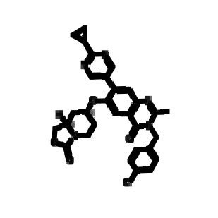 Cc1nc2cc(-c3cnc(C4CC4)nc3)c(O[C@H]3CCN4C(=O)OC[C@@H]4C3)cc2c(=O)n1Cc1ccc(Cl)cc1